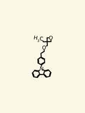 CCC1(COCCc2ccc(-n3c4ccccc4c4ccccc43)cc2)COC1